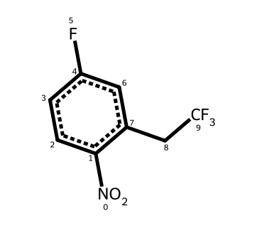 O=[N+]([O-])c1ccc(F)cc1CC(F)(F)F